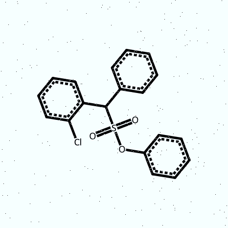 O=S(=O)(Oc1ccccc1)C(c1ccccc1)c1ccccc1Cl